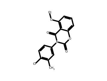 CCOc1cccc2oc(=O)n(-c3ccc(Cl)c(C)c3)c(=O)c12